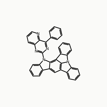 c1ccc(-c2nc(-n3c4ccccc4c4cc5c6ccccc6n6c7ccccc7c(c43)c56)nc3cccnc23)cc1